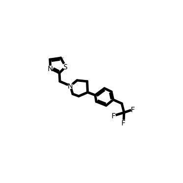 FC(F)(F)Cc1ccc(C2CCN(Cc3nc[c]s3)CC2)cc1